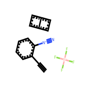 C#Cc1ccccc1[N+]#N.F[B-](F)(F)F.c1cc2ccc1-2